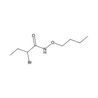 CCCCONC(=O)C(Br)CC